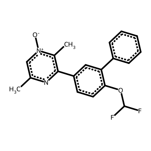 Cc1c[n+]([O-])c(C)c(-c2ccc(OC(F)F)c(-c3ccccc3)c2)n1